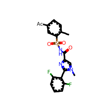 CC(=O)c1ccc(C)c(S(=O)(=O)NC(=O)c2cn(C)c(-c3c(F)cccc3F)n2)c1